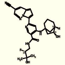 CC(C)(O)[C@H](F)CNC(=O)c1cnc(-c2ccc3cc(C#N)cnn23)cc1NC12CCC[C@@H](C1)[C@@H](O)C2